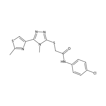 Cc1nc(-c2nnc(SCC(=O)Nc3ccc(Cl)cc3)n2C)cs1